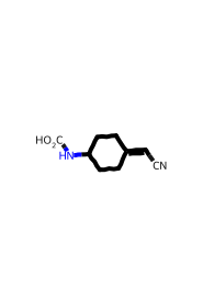 N#CC=C1CCC(NC(=O)O)CC1